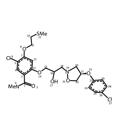 CNC(=O)c1cc(Cl)c(OCCSC)cc1OCC(O)CN1C[C@@H](Oc2ccc(Cl)cc2)CO1